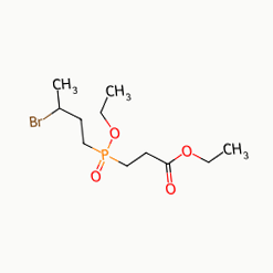 CCOC(=O)CCP(=O)(CCC(C)Br)OCC